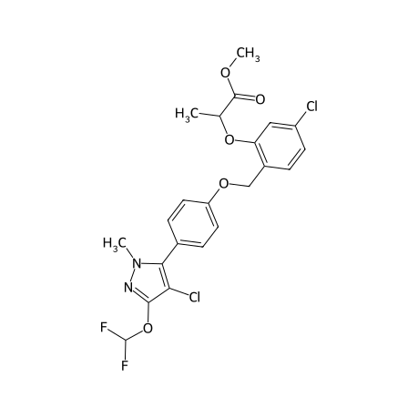 COC(=O)C(C)Oc1cc(Cl)ccc1COc1ccc(-c2c(Cl)c(OC(F)F)nn2C)cc1